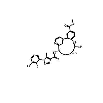 COC(=O)c1ccc2c(c1)-c1ccnc(c1)[C@@H](NC(=O)c1cnn(-c3cccc(Cl)c3F)c1C)CCC[C@@H](C)C(O)N2